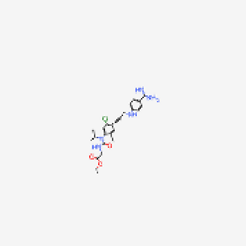 CCOC(=O)CNC(=O)N(c1cc(Cl)c(C#CCNc2ccc(C(=N)N)cc2)cc1C)C(C)C